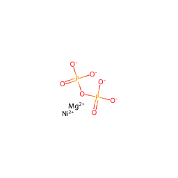 O=P([O-])([O-])OP(=O)([O-])[O-].[Mg+2].[Ni+2]